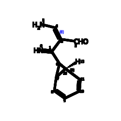 N=C(/C(C=O)=C\N)C1C2C=CC=C[C@@H]21